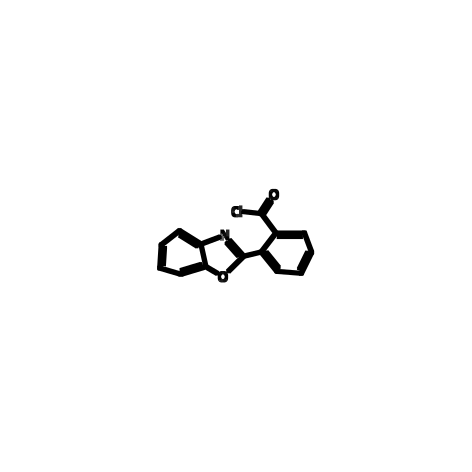 O=C(Cl)c1ccccc1-c1nc2ccccc2o1